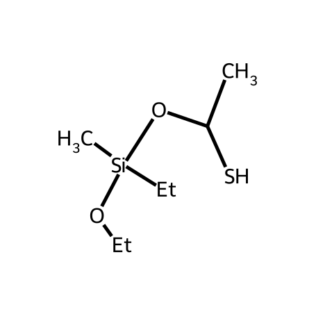 CCO[Si](C)(CC)OC(C)S